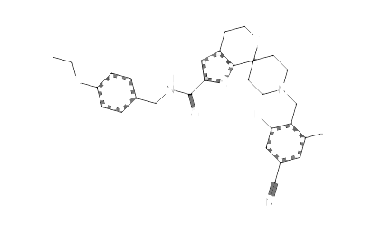 CCSc1ccc(CNC(=O)c2cc3c(s2)C2(CCN(Cc4c(F)cc(C#N)cc4F)CC2)OCC3)cc1